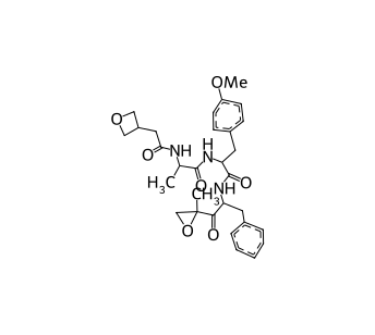 COc1ccc(CC(NC(=O)C(C)NC(=O)CC2COC2)C(=O)NC(Cc2ccccc2)C(=O)C2(C)CO2)cc1